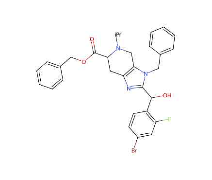 CC(C)N1Cc2c(nc(C(O)c3ccc(Br)cc3F)n2Cc2ccccc2)CC1C(=O)OCc1ccccc1